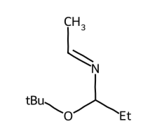 CC=NC(CC)OC(C)(C)C